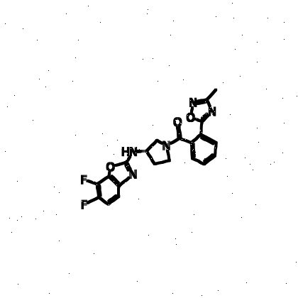 Cc1noc(-c2ccccc2C(=O)N2CC[C@@H](Nc3nc4ccc(F)c(F)c4o3)C2)n1